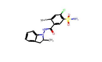 CNc1cc(Cl)c(S(N)(=O)=O)cc1C(=O)NN1c2ccccc2CC1C